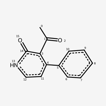 CC(=O)c1c(-c2ccccc2)cc[nH]c1=O